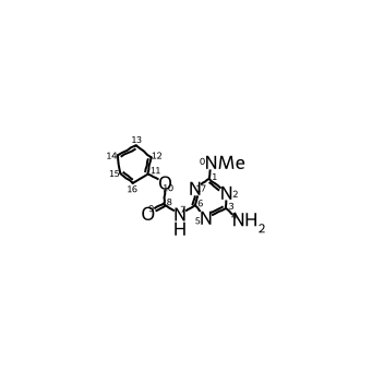 CNc1nc(N)nc(NC(=O)Oc2ccccc2)n1